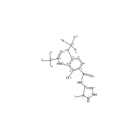 CN1NNN=C1NC(=O)c1ccc(OC(F)(F)F)c(NC(=O)C(C)(C)C)c1Cl